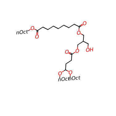 CCCCCCCCOC(=O)CCCCCCCC(=O)OCC(CO)COC(=O)CCC(OCCCCCCCC)OCCCCCCCC